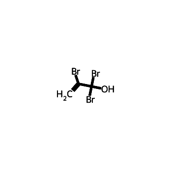 C=C(Br)C(O)(Br)Br